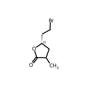 CC1C[C@@H](CCBr)OC1=O